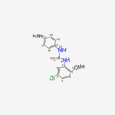 COc1ccc(Cl)cc1NC(=S)Nc1ccc(NC(C)=O)cc1